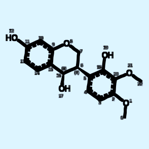 COc1ccc([C@@H]2COc3cc(O)ccc3[C@@H]2O)c(O)c1OC